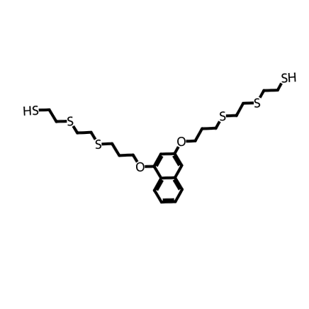 SCCSCCSCCCOc1cc(OCCCSCCSCCS)c2ccccc2c1